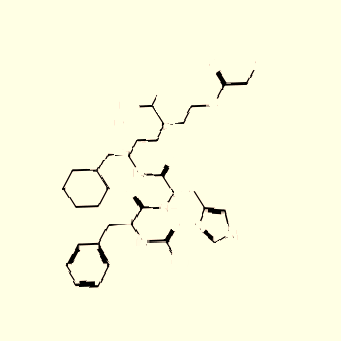 CCC(=O)OCC[C@@H](C[C@@H](O)[C@H](CC1CCCCC1)NC(=O)[C@H](Cc1c[nH]cn1)NC(=O)[C@H](Cc1ccccc1)NC(=O)O)C(C)C